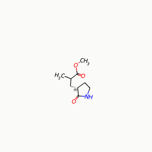 COC(=O)C(C)C[C@@H]1CCNC1=O